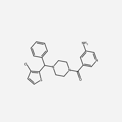 Nc1cncc(C(=O)N2CCN(C(c3ccccc3)c3sccc3Cl)CC2)c1